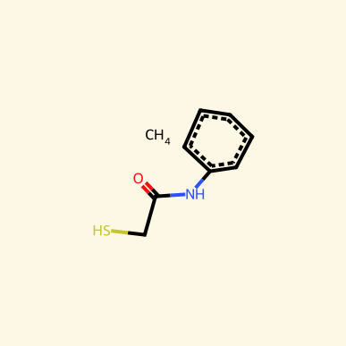 C.O=C(CS)Nc1ccccc1